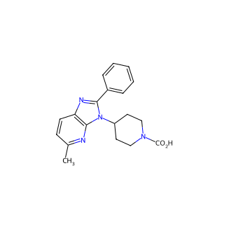 Cc1ccc2nc(-c3ccccc3)n(C3CCN(C(=O)O)CC3)c2n1